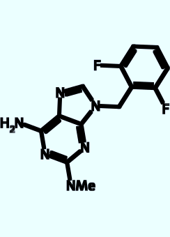 CNc1nc(N)c2ncn(Cc3c(F)cccc3F)c2n1